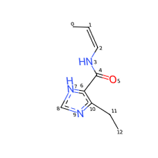 C/C=C\NC(=O)c1[nH]cnc1CC